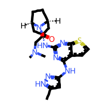 Cc1cc(Nc2nc(N[C@@H]3C[C@H]4CC[C@@H](C3)N4C(=O)CN(C)C)nc3sccc23)n[nH]1